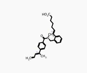 C=C/C=C(\C)c1ccc(C(=O)N(C)Cc2ccccc2/C=C/CCCCC(=O)O)cc1